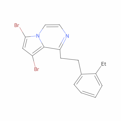 CCc1ccccc1CCc1nccn2c(Br)cc(Br)c12